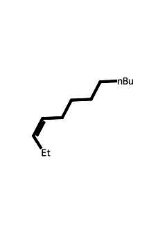 [CH2]C/C=C\CCCCCCCC